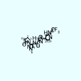 C[C@@H]1CCN(c2nn(C)cc2NC(=O)c2coc(-c3ccnc(NCC(F)(F)F)c3)n2)C1=O